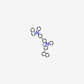 c1ccc(N2c3ccc(-c4ccc(N(c5ccccc5)c5cccc6ccccc56)cc4)cc3Cc3cc(-c4cccc5ccccc45)ccc32)cc1